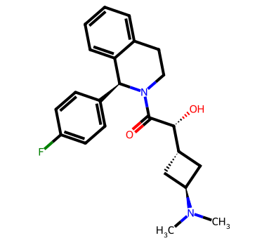 CN(C)[C@H]1C[C@H]([C@@H](O)C(=O)N2CCc3ccccc3[C@@H]2c2ccc(F)cc2)C1